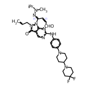 C=CCn1c(=O)c2cnc(Nc3ccc(N4CCC(N5CCC(F)(F)CC5)CC4)cc3)nc2n1C(/C=C\C=O)=N/N(C)C(C)C